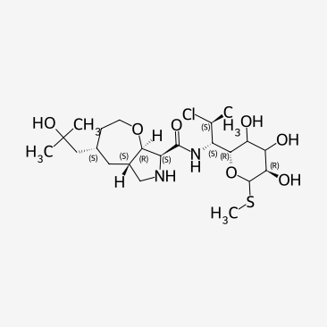 CSC1O[C@H]([C@H](NC(=O)[C@H]2NC[C@@H]3C[C@H](CC(C)(C)O)CCO[C@H]32)[C@H](C)Cl)C(O)C(O)[C@H]1O